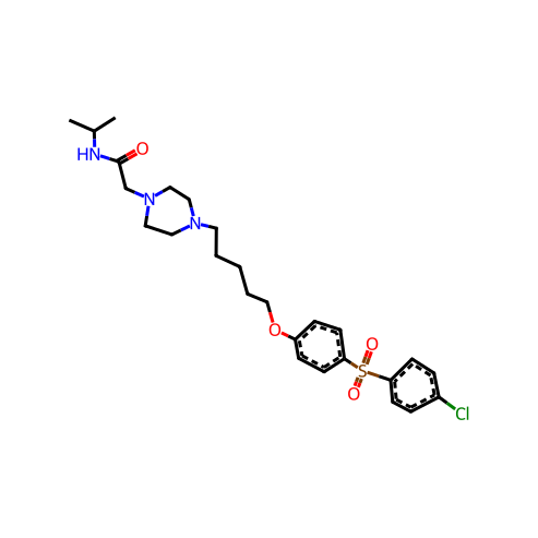 CC(C)NC(=O)CN1CCN(CCCCCOc2ccc(S(=O)(=O)c3ccc(Cl)cc3)cc2)CC1